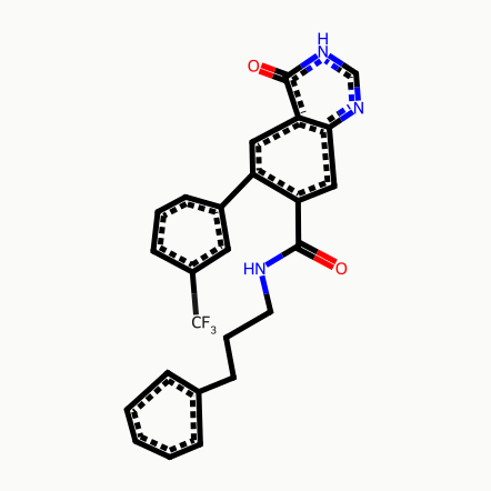 O=C(NCCCc1ccccc1)c1cc2nc[nH]c(=O)c2cc1-c1cccc(C(F)(F)F)c1